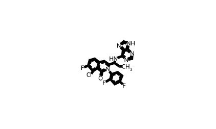 CCC(Nc1ncnc2[nH]cnc12)c1cc2ccc(F)c(Cl)c2c(=O)n1-c1ccc(F)cc1F